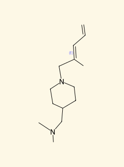 C=C/C=C(\C)CN1CCC(CN(C)C)CC1